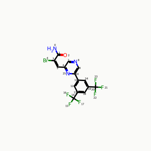 NC(=O)/C(Br)=C\c1cncc(-c2cc(C(F)(F)F)cc(C(F)(F)F)c2)n1